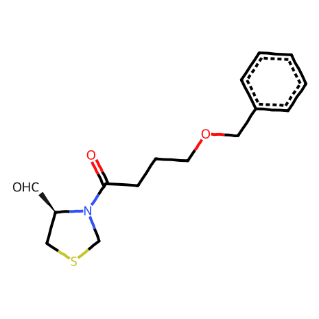 O=C[C@@H]1CSCN1C(=O)CCCOCc1ccccc1